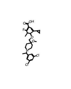 COC1(COC2C(C3CC3)=CC(C(=O)O)=C(F)C2C)CCN(C(C)c2cc(Cl)cc(Cl)c2)CC1